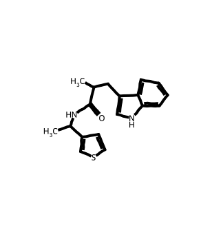 CC(Cc1c[nH]c2ccccc12)C(=O)NC(C)c1ccsc1